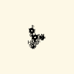 Cn1ccnc1Sc1cc(Oc2ccc(I)cc2)cc(C(=O)Nc2nccs2)c1